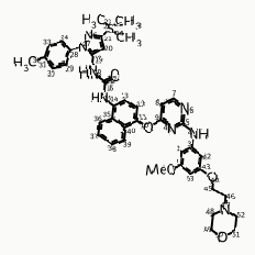 COc1cc(Nc2nccc(Oc3ccc(NC(=O)Nc4cc(S(C)(C)C)nn4-c4ccc(C)cc4)c4ccccc34)n2)cc(OCCN2CCOCC2)c1